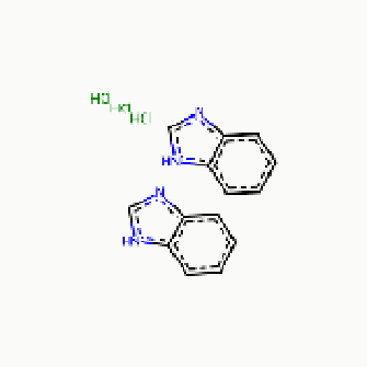 Cl.Cl.Cl.c1ccc2[nH]cnc2c1.c1ccc2[nH]cnc2c1